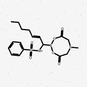 CCCC/C=C/C(NS(=O)(=O)c1ccccc1)B1OC(=O)CN(C)CC(=O)O1